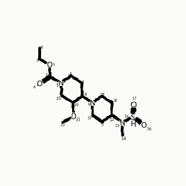 CCOC(=O)N1CCC(N2CCC(N(C)[SH](=O)=O)CC2)C(OC)C1